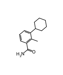 Cc1c(C(N)=O)cccc1C1CCCCC1